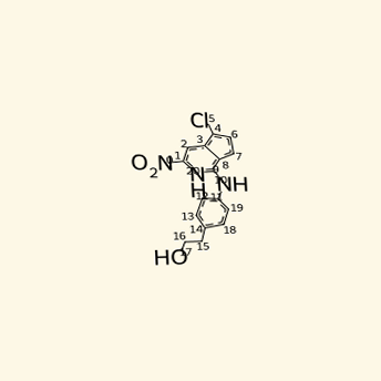 O=[N+]([O-])c1cc2c(Cl)ccc-2c(Nc2ccc(CCO)cc2)[nH]1